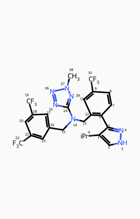 CC(C)c1c[nH]nc1-c1ccc(C(F)(F)F)cc1CN(Cc1cc(C(F)(F)F)cc(C(F)(F)F)c1)c1nnn(C)n1